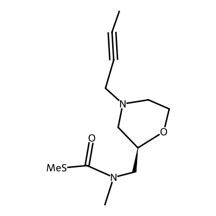 CC#CCN1CCO[C@@H](CN(C)C(=O)SC)C1